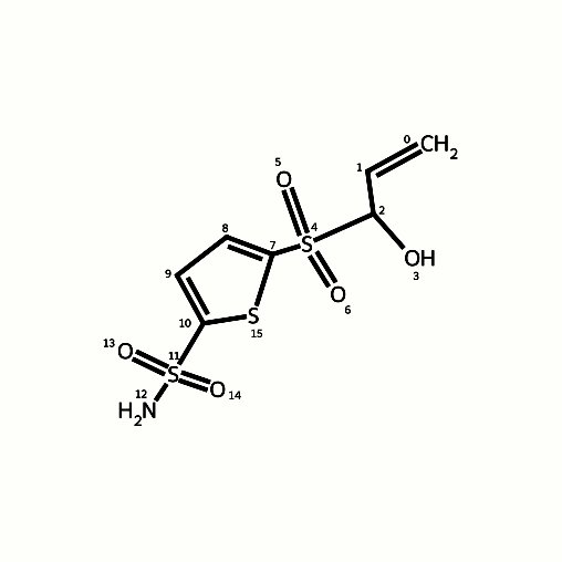 C=CC(O)S(=O)(=O)c1ccc(S(N)(=O)=O)s1